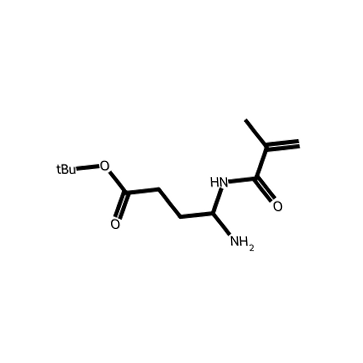 C=C(C)C(=O)NC(N)CCC(=O)OC(C)(C)C